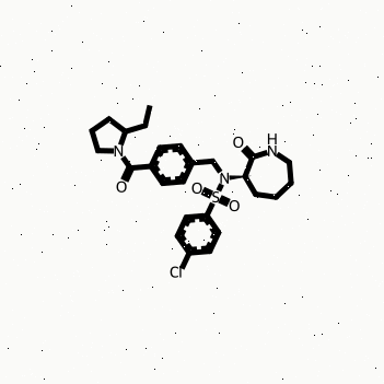 CCC1CCCN1C(=O)c1ccc(CN([C@@H]2CCCCNC2=O)S(=O)(=O)c2ccc(Cl)cc2)cc1